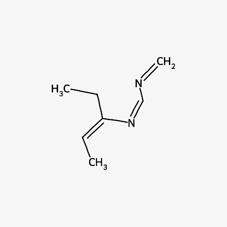 C=N/C=N\C(=C/C)CC